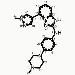 CN1CCN(c2ccc(Nc3nc4cccc(-c5cnn(C)c5)n4n3)cc2)CC1